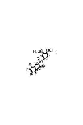 COc1ccc(C[S+]([O-])/C(=C/c2c(F)c(F)c(F)c(F)c2F)[N+](=O)[O-])cc1OC